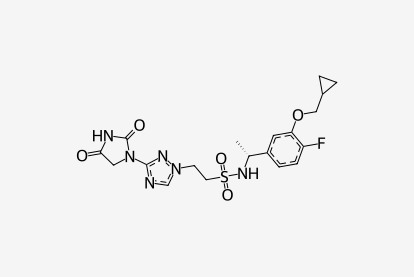 C[C@@H](NS(=O)(=O)CCn1cnc(N2CC(=O)NC2=O)n1)c1ccc(F)c(OCC2CC2)c1